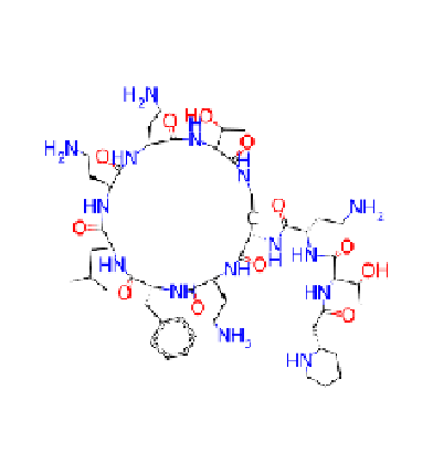 CC(C)C[C@@H]1NC(=O)[C@@H](Cc2ccccc2)NC(=O)[C@H](CCN)NC(=O)[C@@H](NC(=O)[C@H](CCN)NC(=O)[C@@H](NC(=O)C[C@@H]2CCCCN2)C(C)O)CCNC(=O)C(C(C)O)NC(=O)[C@H](CCN)NC(=O)[C@H](CCN)NC1=O